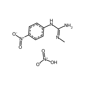 CN=C(N)Nc1ccc([N+](=O)[O-])cc1.O=[N+]([O-])O